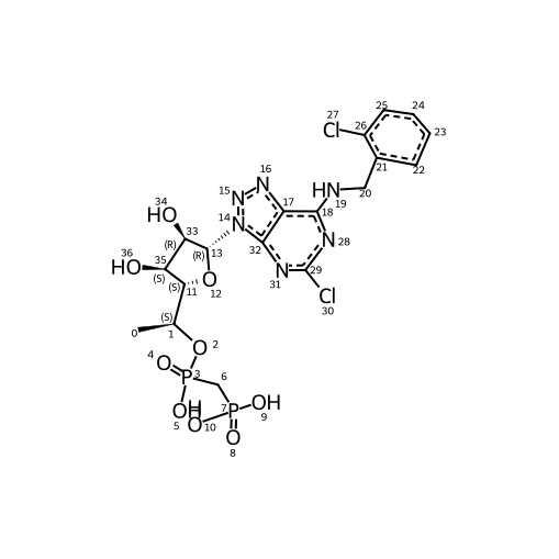 C[C@H](OP(=O)(O)CP(=O)(O)O)[C@H]1O[C@@H](n2nnc3c(NCc4ccccc4Cl)nc(Cl)nc32)[C@H](O)[C@@H]1O